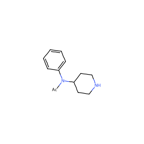 CC(=O)N(c1ccccc1)C1CCNCC1